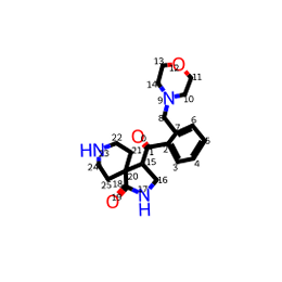 O=C(c1ccccc1CN1CCOCC1)C1CNC(=O)C12CCNCC2